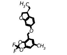 CC[C@@H]1COc2cc(OCc3cc(C)cc4c3OC(F)(F)O4)ccc21